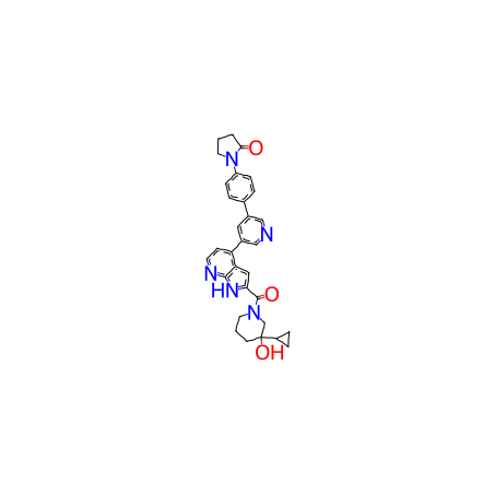 O=C(c1cc2c(-c3cncc(-c4ccc(N5CCCC5=O)cc4)c3)ccnc2[nH]1)N1CCCC(O)(C2CC2)C1